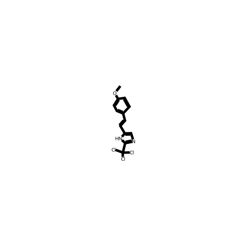 COc1ccc(C=Cc2cnc(C(Cl)(Cl)Cl)[nH]2)cc1